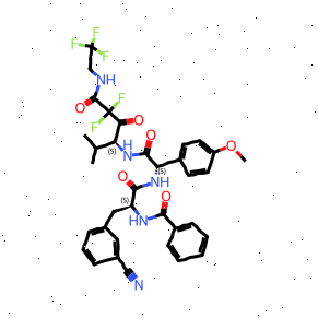 COc1ccc([C@H](NC(=O)[C@H](Cc2cccc(C#N)c2)NC(=O)c2ccccc2)C(=O)N[C@H](C(=O)C(F)(F)C(=O)NCC(F)(F)F)C(C)C)cc1